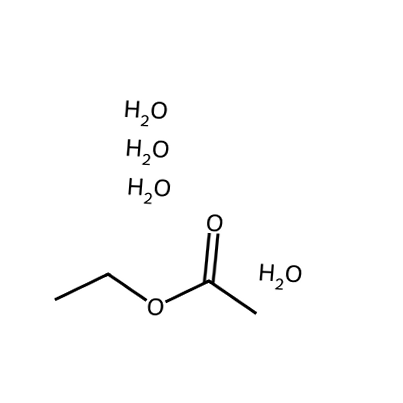 CCOC(C)=O.O.O.O.O